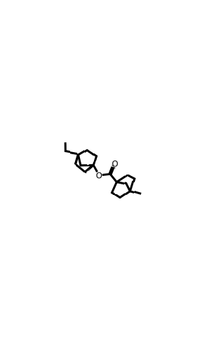 CCC12CCC(OC(=O)C34CCC(C)(CC3)C4)(CC1)C2